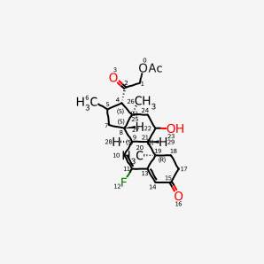 CC(=O)OCC(=O)[C@H]1C(C)C[C@H]2[C@@H]3C=C(F)C4=CC(=O)CC[C@]4(C)[C@H]3C(O)C[C@]12C